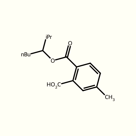 CCCCC(OC(=O)c1ccc(C)cc1C(=O)O)C(C)C